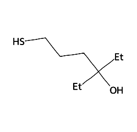 CCC(O)(CC)CCCS